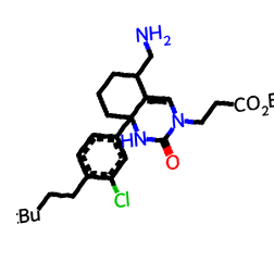 CCOC(=O)CCN1C=C2C(CN)CCCC2(c2ccc(CCC(C)(C)C)c(Cl)c2)NC1=O